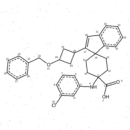 O=C(O)C1(Nc2cccc(Cl)c2)CCC2(CC1)C(C1CC(OCc3ccccc3)C1)=Cc1ccccc12